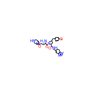 COc1ccc(CC2CC(C(=O)NCC3=Cc4nnn(C)c4CC3)N(C(=O)C(N)CCC(=O)N3C4CCC3CNC4)C2)cc1